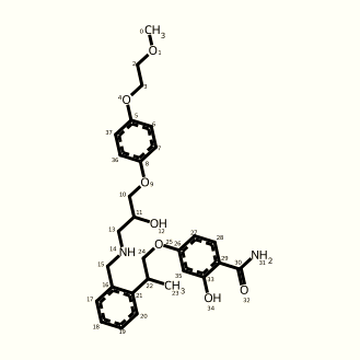 COCCOc1ccc(OCC(O)CNCc2ccccc2C(C)COc2ccc(C(N)=O)c(O)c2)cc1